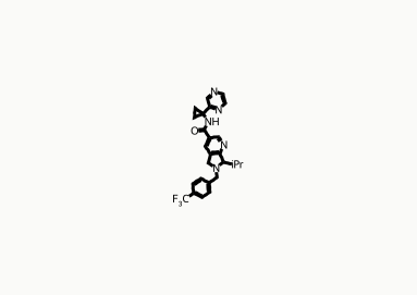 CC(C)C1c2ncc(C(=O)NC3(c4cnccn4)CC3)cc2CN1Cc1ccc(C(F)(F)F)cc1